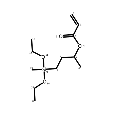 C=CC(=O)OC(C)CC[Si](C)(OCC)OCC